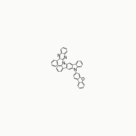 c1ccc(-c2nc3ccccc3nc2-n2c3ccccc3c3cc4c(cc32)c2ccccc2n4-c2ccc3c(c2)oc2ccccc23)cc1